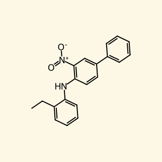 CCc1ccccc1Nc1ccc(-c2ccccc2)cc1[N+](=O)[O-]